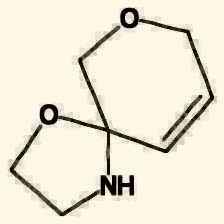 C1=CC2(COC1)NCCO2